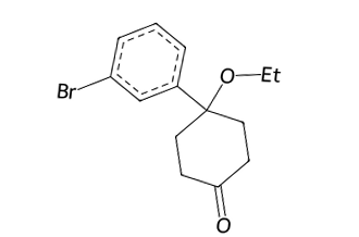 CCOC1(c2cccc(Br)c2)CCC(=O)CC1